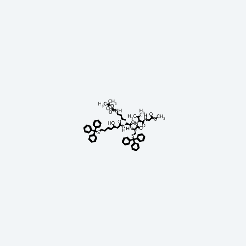 COC(=O)CNC(=O)[C@H](NC(=O)[C@@H](CSC(c1ccccc1)(c1ccccc1)c1ccccc1)NC(=O)[C@@H](CCCCNC(=O)OC(C)(C)C)NC(=O)C[C@H](O)C=CCCSC(c1ccccc1)(c1ccccc1)c1ccccc1)C(C)C